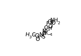 CCOC(=O)c1csc(-n2nc(O)c(Cc3ccc(S(N)(=O)=O)c(F)c3)c2CC2CC2)n1